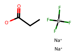 CCC(=O)[O-].F[B-](F)(F)F.[Na+].[Na+]